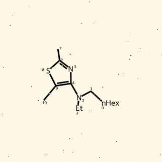 CCCCCCCN(CC)c1nc(C)sc1C